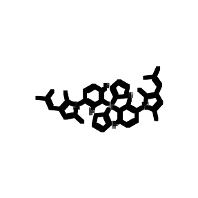 CC(C)=Cc1cc(C)n(-c2ccc(F)[c]([Ti]([C]3=CC=CC3)([C]3=CC=CC3)[c]3c(F)ccc(-n4c(C)cc(C=C(C)C)c4C)c3F)c2F)c1C